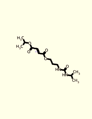 CC(C)NC(=O)NCCCOC(=O)/C=C/C(=O)OC(C)C